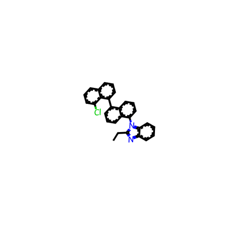 CCc1nc2ccccc2n1-c1cccc2c(-c3cccc4cccc(Cl)c34)cccc12